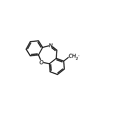 [CH2]c1cccc2c1C=Nc1ccccc1O2